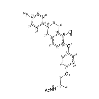 CC(=O)N[C@@H](C)COc1ccc(Oc2ccc3c(c2Cl)CCN(c2ncc(F)cn2)C3)cn1